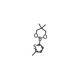 Cc1ccc(B2OCC(C)(C)CO2)s1